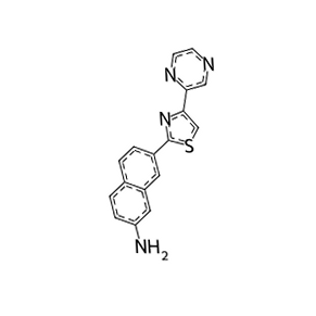 Nc1ccc2ccc(-c3nc(-c4cnccn4)cs3)cc2c1